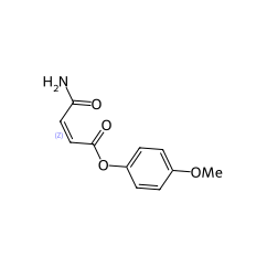 COc1ccc(OC(=O)/C=C\C(N)=O)cc1